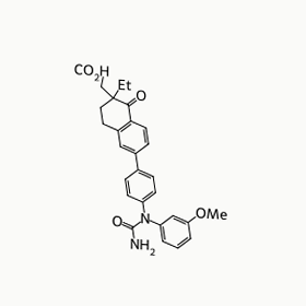 CCC1(CC(=O)O)CCc2cc(-c3ccc(N(C(N)=O)c4cccc(OC)c4)cc3)ccc2C1=O